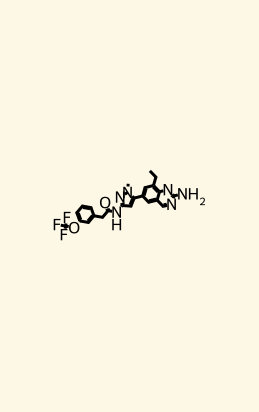 CCc1cc(-c2cc(NC(=O)Cc3cccc(OC(F)(F)F)c3)nn2C)cc2cnc(N)nc12